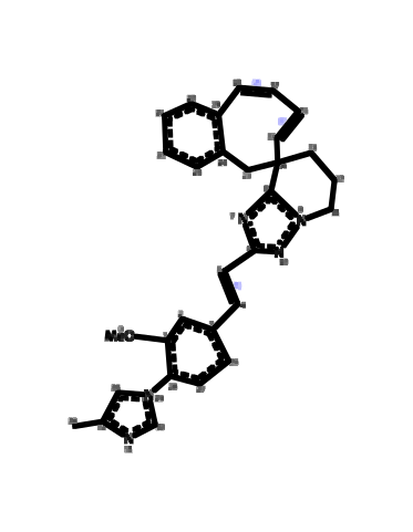 COc1cc(/C=C/c2nc3n(n2)CCCC32/C=C/C=C\c3ccccc3C2)ccc1-n1cnc(C)c1